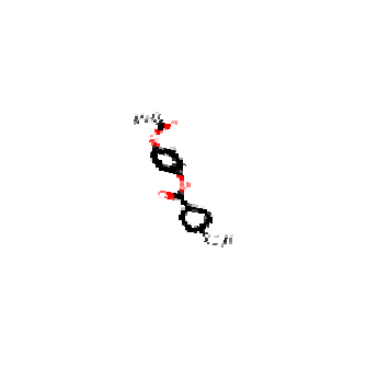 COC(=O)Oc1ccc(OC(=O)C2CCC(C(=O)O)CC2)cc1